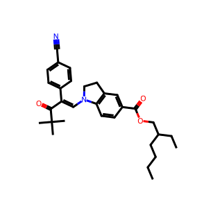 CCCCC(CC)COC(=O)c1ccc2c(c1)CCN2/C=C(/C(=O)C(C)(C)C)c1ccc(C#N)cc1